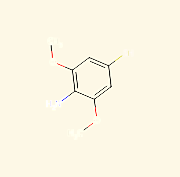 COc1cc(S)cc(OC)c1N